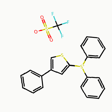 O=S(=O)([O-])C(F)(F)F.c1ccc(-c2csc([S+](c3ccccc3)c3ccccc3)c2)cc1